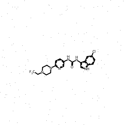 O=C(Nc1ccc(N2CCN(CC(F)(F)F)CC2)nc1)Nc1c[nH]c2ccc(Cl)cc12